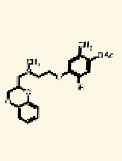 CC(=O)Oc1cc(C(C)C)c(OCCN(C)CC2COc3ccccc3O2)cc1C